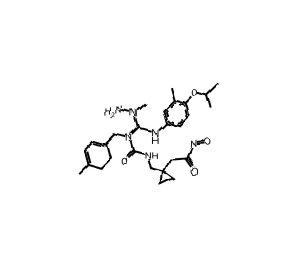 CC1=CC=C(CN(C(=O)NCC2(CC(=O)N=O)CC2)C(Nc2ccc(OC(C)C)c(C)c2)N(C)N)CC1